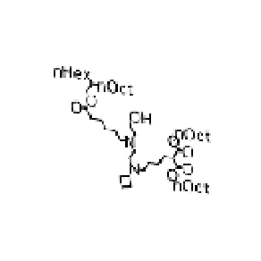 CCCCCCCCOC(=O)C(CCCCN(CCN(CCO)CCCCCC(=O)OCC(CCCCCC)CCCCCCCC)C1CCC1)C(=O)OCCCCCCCC